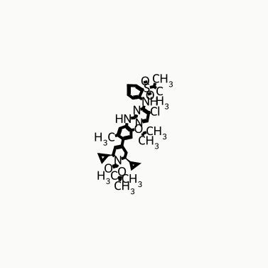 Cc1cc(Nc2ncc(Cl)c(Nc3ccccc3S(=O)(=O)C(C)C)n2)c(OC(C)C)cc1C1=C[C@H](C2CC2)N(C(=O)OC(C)(C)C)[C@H](C2CC2)C1